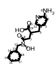 Nc1ccc(CC(CC(=O)N(O)Cc2ccccc2)C(=O)O)cn1